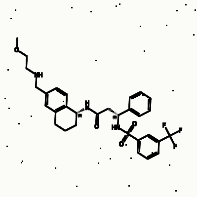 COCCNCc1ccc2c(c1)CCC[C@H]2NC(=O)C[C@@H](NS(=O)(=O)c1cccc(C(F)(F)F)c1)c1ccccc1